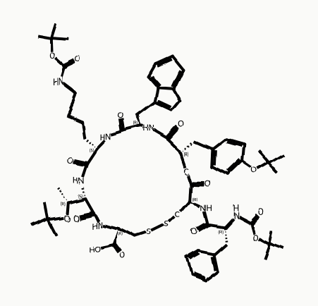 C[C@@H](OC(C)(C)C)[C@@H]1NC(=O)[C@H](CCCCNC(=O)OC(C)(C)C)NC(=O)[C@@H](CC2=CCc3ccccc32)NC(=O)[C@H](Cc2ccc(OC(C)(C)C)cc2)CC(=O)[C@@H](NC(=O)[C@@H](Cc2ccccc2)NC(=O)OC(C)(C)C)CSSC[C@@H](C(=O)O)NC1=O